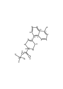 Cc1cccc2c(C3=CCN(C(=O)OC(C)(C)C)CC3)cccc12